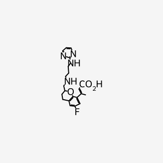 CC(=CC(=O)O)c1cc(F)cc2c1OC(CNCCCNc1ncccn1)CC2